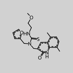 COCCNC(=S)N(Cc1ccco1)Cc1cc2c(C)ccc(C)c2[nH]c1=O